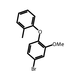 COc1cc(Br)ccc1Oc1ccccc1C